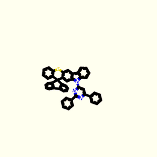 c1ccc(-c2cc(-n3c4ccccc4c4cc5c(cc43)C3(c4ccccc4S5)c4ccccc4-c4ccccc43)nc(-c3ccccc3)n2)cc1